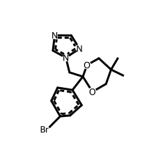 CC1(C)COC(Cn2cncn2)(c2ccc(Br)cc2)OC1